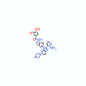 CN1CCN(c2ccc3nc(-c4cccnc4N)n(-c4ccc5c(c4)CC[C@@H]5NC(=O)c4ccc(O)c(C=O)c4)c3n2)CC1